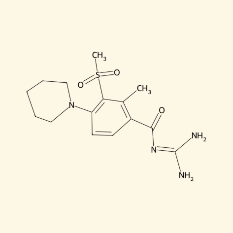 Cc1c(C(=O)N=C(N)N)ccc(N2CCCCC2)c1S(C)(=O)=O